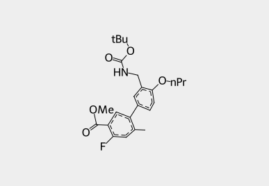 CCCOc1ccc(-c2cc(C(=O)OC)c(F)cc2C)cc1CNC(=O)OC(C)(C)C